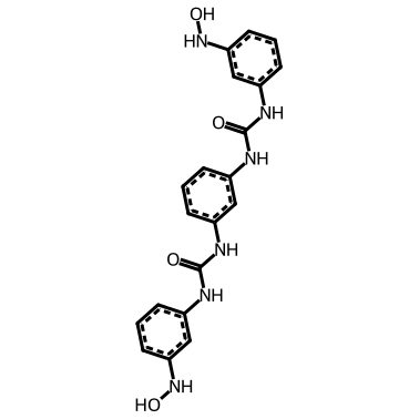 O=C(Nc1cccc(NO)c1)Nc1cccc(NC(=O)Nc2cccc(NO)c2)c1